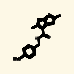 COc1ccc(CNC(=O)c2c(C)nc3sc(C)cn23)cc1